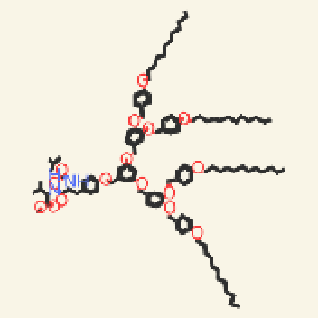 CCCCCCCCCCCCOc1ccc(COc2ccc(COc3cc(COc4ccc(CC(NC(=O)OC(C)(C)C)C(=O)NC(C(=O)OC)C(C)C)cc4)cc(OCc4ccc(OCc5ccc(OCCCCCCCCCCCC)cc5)c(OCc5ccc(OCCCCCCCCCCCC)cc5)c4)c3)cc2OCc2ccc(OCCCCCCCCCCCC)cc2)cc1